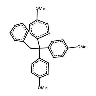 COc1ccc(C([CH]c2ccccc2)(c2ccc(OC)cc2)c2ccc(OC)cc2)cc1